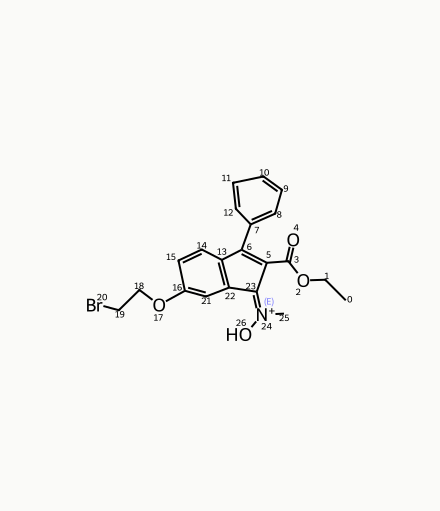 CCOC(=O)C1=C(c2ccccc2)c2ccc(OCCBr)cc2/C1=[N+](/C)O